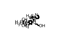 CN(c1ccccn1)S(=O)(=O)c1cc(B2OC(C)(C)C(C)(C)O2)c(Cl)cc1OCCCO